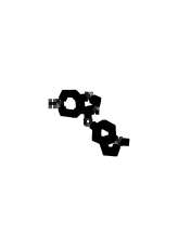 Cn1ccc2cc(Oc3ncnc4c3CCNCC4)ccc21